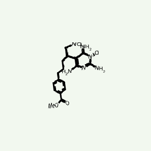 COC(=O)c1ccc(CCCC(C[N+](=O)[O-])C2=C(N)N=C(N)[N+](=O)C2N)cc1